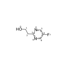 OCCc1ncc(F)cn1